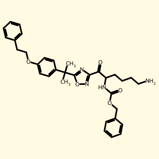 CC(C)(c1ccc(OCCc2ccccc2)cc1)c1nc(C(=O)C(CCCCN)NC(=O)OCc2ccccc2)no1